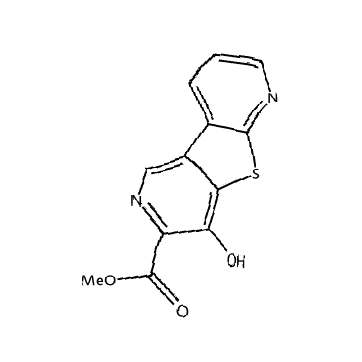 COC(=O)c1ncc2c(sc3ncccc32)c1O